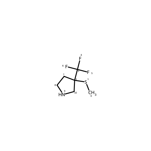 CSC1(C(F)(F)F)CCNC1